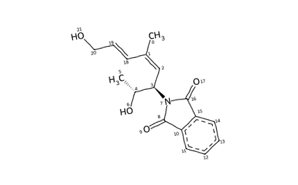 CC(=C/[C@H]([C@@H](C)O)N1C(=O)c2ccccc2C1=O)/C=C/CO